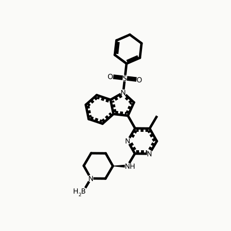 BN1CCC[C@@H](Nc2ncc(C)c(-c3cn(S(=O)(=O)C4=CCCC=C4)c4ccccc34)n2)C1